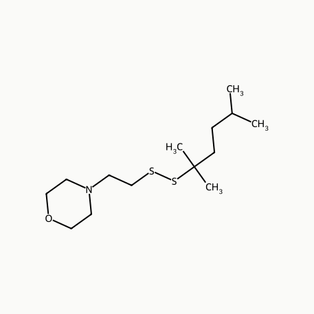 CC(C)CCC(C)(C)SSCCN1CCOCC1